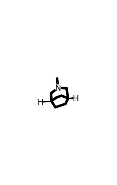 CN1C[C@H]2CC[C@H](CC2)C1